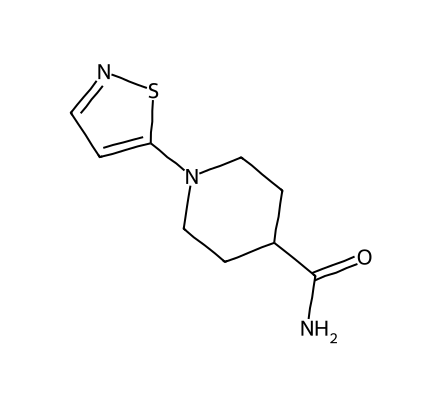 NC(=O)C1CCN(c2ccns2)CC1